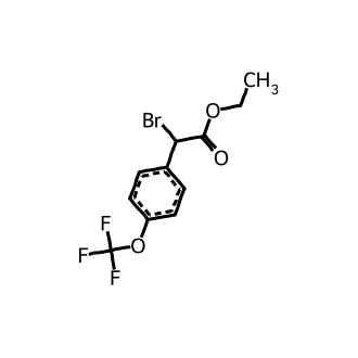 CCOC(=O)C(Br)c1ccc(OC(F)(F)F)cc1